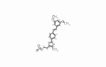 COc1cc(/C=C/c2ccc(-c3nc(C)c(CCO[N+](=O)[O-])s3)cc2)cc(OC)c1